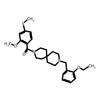 CCOc1ccccc1CN1CCC2(CC1)CCN(C(=O)c1ccc(SC)cc1OC)CC2